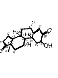 C[C@H]1C[C@@H]2[C@H](CC[C@]3(C)C(=O)CC[C@@H]23)[C@H]2CC(O)C(=O)C=C12